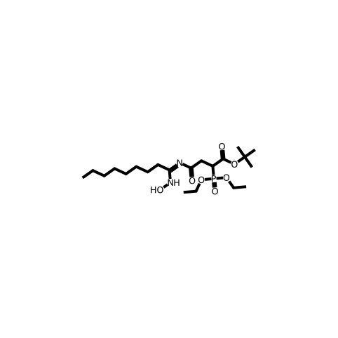 CCCCCCCC/C(=N/C(=O)CC(C(=O)OC(C)(C)C)P(=O)(OCC)OCC)NO